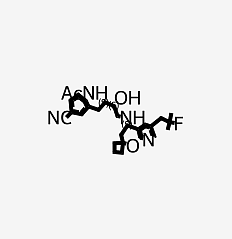 CC(=O)N[C@@H](Cc1cccc(C#N)c1)[C@@H](O)CN[C@H]1CC2(CCC2)Oc2ncc(CC(C)(C)F)cc21